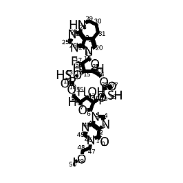 O=c1c2ncn([C@@H]3O[C@@H]4CO[P@](=O)(S)O[C@H]5[C@@H](F)[C@H](n6cc7c8c(ncnc86)NCCC7)O[C@@H]5CO[P@](=O)(S)O[C@@H]3[C@@H]4O)c2ncn1CCOI